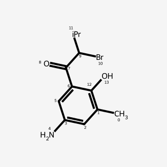 Cc1cc(N)cc(C(=O)C(Br)C(C)C)c1O